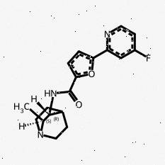 C[C@H]1[C@H](NC(=O)c2ccc(-c3cc(F)ccn3)o2)C2CCN1CC2